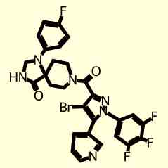 O=C(c1nn(-c2cc(F)c(F)c(F)c2)c(-c2cccnc2)c1Br)N1CCC2(CC1)C(=O)NCN2c1ccc(F)cc1